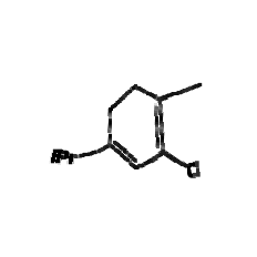 CC1=C(Cl)C=C(C(C)C)CC1